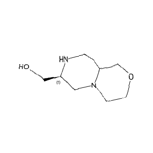 OC[C@@H]1CN2CCOCC2CN1